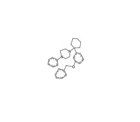 c1ccc(COc2cccc(C3(N4CCN(c5ccccc5)CC4)CCCCC3)c2)cc1